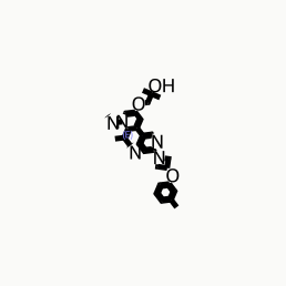 C=NN1C=C(OCC(C)(C)O)C=C(c2ccc(N3CC(Oc4cccc(C)c4)C3)nc2)/C1=C(/C)C#N